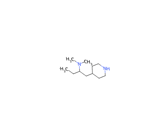 [CH2]CC(CC1CCNCC1)N(C)C